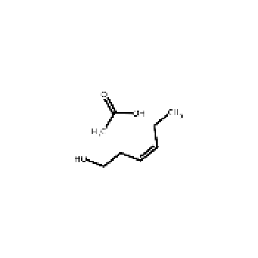 CC(=O)O.CC/C=C\CCO